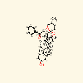 CC1CC[C@@]2(OC1)O[C@H]1C[C@H]3[C@@H]4CC=C5CC(O)CC[C@]5(C)[C@H]4CC[C@]3(C)[C@H]1[C@@H]2CC(=O)c1ccccc1